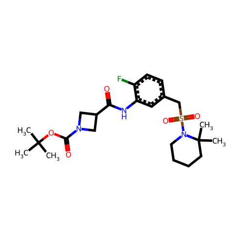 CC(C)(C)OC(=O)N1CC(C(=O)Nc2cc(CS(=O)(=O)N3CCCCC3(C)C)ccc2F)C1